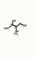 C.O=C[C@@H](O)[C@H](O)CO